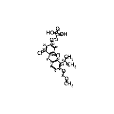 COCOc1ccc(Cc2c(Cl)cc(OCP(=O)(O)O)cc2Cl)cc1C(C)C